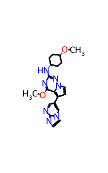 COc1nc(N[C@H]2CC[C@H](OC)CC2)nn2ccc(-c3cnc4nccn4c3)c12